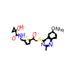 COc1ccc2nc(C)nc(SCC(=O)c3ccc(CNC(=O)C4(O)CC4)s3)c2c1